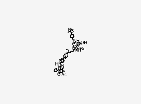 CC(=O)c1c(C)c2cnc(Nc3ccc(N4CCN(C(=O)CCCC(=O)NC(C(=O)N5C[C@H](O)C[C@H]5C(=O)NCc5ccc(-c6scnc6C)cc5)C(C)(C)C)CC4)cn3)nc2n(C2CCCC2)c1=O